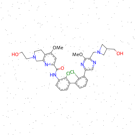 COc1cc(C(=O)Nc2cccc(-c3cccc(-c4cnc(CN5CC(CO)C5)c(OC)n4)c3Cl)c2Cl)nc2c1CCN(CCO)C2